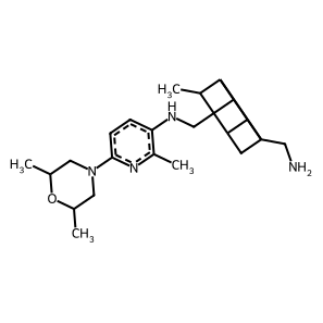 Cc1nc(N2CC(C)OC(C)C2)ccc1NCC12C(C)C3C1C1C2CC31CN